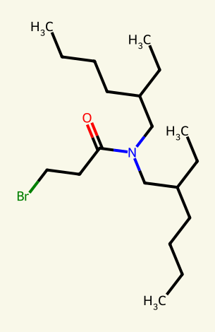 CCCCC(CC)CN(CC(CC)CCCC)C(=O)CCBr